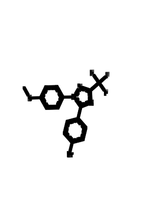 CSc1ccc(-n2nc(C(F)(F)F)nc2-c2ccc(Br)cc2)cc1